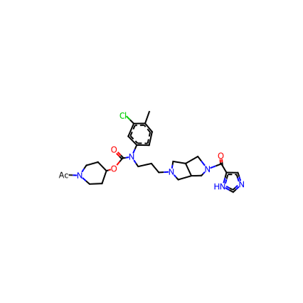 CC(=O)N1CCC(OC(=O)N(CCCN2CC3CN(C(=O)c4cnc[nH]4)CC3C2)c2ccc(C)c(Cl)c2)CC1